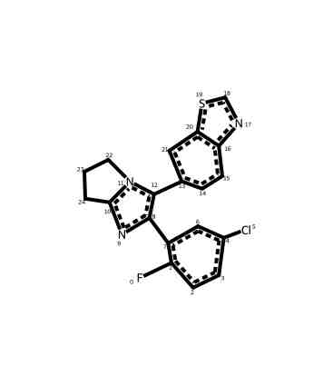 Fc1ccc(Cl)cc1-c1nc2n(c1-c1ccc3ncsc3c1)CCC2